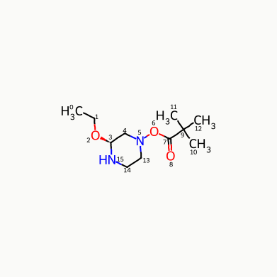 CCO[C@H]1CN(OC(=O)C(C)(C)C)CCN1